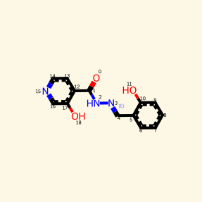 O=C(N/N=C/c1ccccc1O)c1ccncc1O